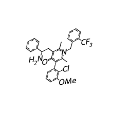 COc1cccc(-c2c(C)n(Cc3ccccc3C(F)(F)F)c(C)c(CC(N)c3ccccc3)c2=O)c1Cl